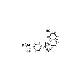 CC(C)NC(=N)c1ccc(/N=N/c2c(N)ncc3ccc(Br)cc23)cc1